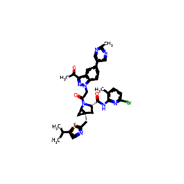 CC(=O)c1nn(CC(=O)N2C3C[C@]3(Cc3ncc(C(C)C)s3)C[C@H]2C(=O)Nc2nc(Br)ccc2C)c2ccc(-c3cnc(C)nc3)cc12